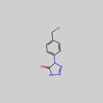 O=c1[nH]nnn1-c1ccc(CCl)cc1